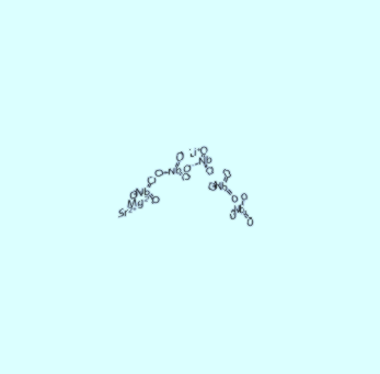 [Li+].[Mg+2].[O]=[Nb](=[O])[O-].[O]=[Nb](=[O])[O-].[O]=[Nb](=[O])[O-].[O]=[Nb](=[O])[O-].[O]=[Nb](=[O])[O-].[Sr+2]